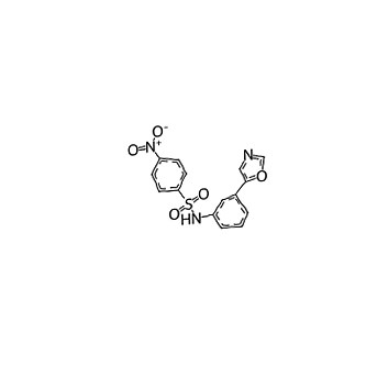 O=[N+]([O-])c1ccc(S(=O)(=O)Nc2cccc(-c3cnco3)c2)cc1